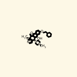 COC(O)c1coc2c1c(C(c1ccncc1)N1CCN(C)CC1)c(O)c1cc(OCCC3CCCCC3)ccc12